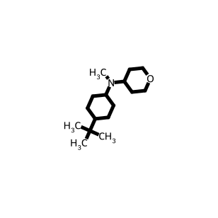 CN(C1CCOCC1)C1CCC(C(C)(C)C)CC1